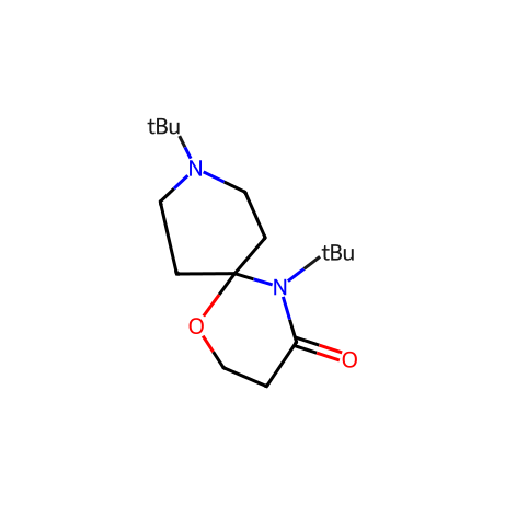 CC(C)(C)N1CCC2(CC1)OCCC(=O)N2C(C)(C)C